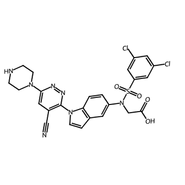 N#Cc1cc(N2CCNCC2)nnc1-n1ccc2cc(N(CC(=O)O)S(=O)(=O)c3cc(Cl)cc(Cl)c3)ccc21